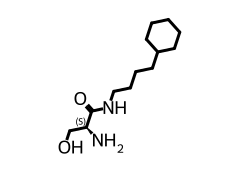 N[C@@H](CO)C(=O)NCCCCC1CCCCC1